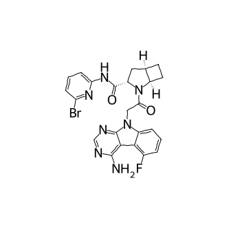 Nc1ncnc2c1c1c(F)cccc1n2CC(=O)N1[C@@H]2CC[C@@H]2C[C@H]1C(=O)Nc1cccc(Br)n1